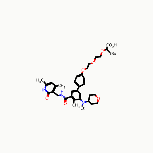 CCN(c1cc(-c2ccc(OCCOCCOC(C(=O)O)C(C)(C)C)cc2)cc(C(=O)NCc2c(C)cc(C)[nH]c2=O)c1C)C1CCOCC1